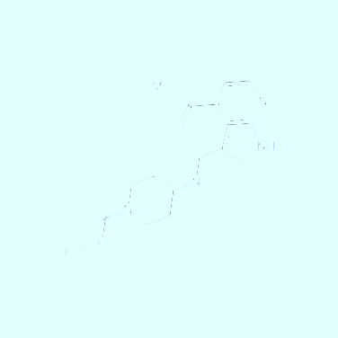 COC(=O)c1ccnc2[nH]cc(CNC3CCN(C(=O)OC(C)(C)C)CC3)c12